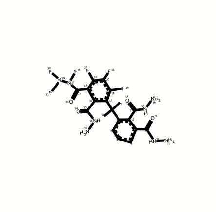 CC(C)(c1cccc(C(=O)NN)c1C(=O)NN)c1c(F)c(F)c(F)c(C(=O)N(F)N(F)F)c1C(=O)NN